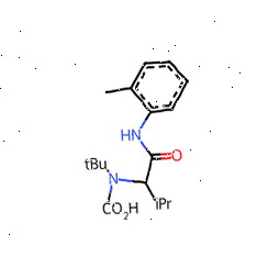 Cc1ccccc1NC(=O)C(C(C)C)N(C(=O)O)C(C)(C)C